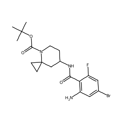 CC(C)(C)OC(=O)N1CCC(NC(=O)c2c(N)cc(Br)cc2F)CC12CC2